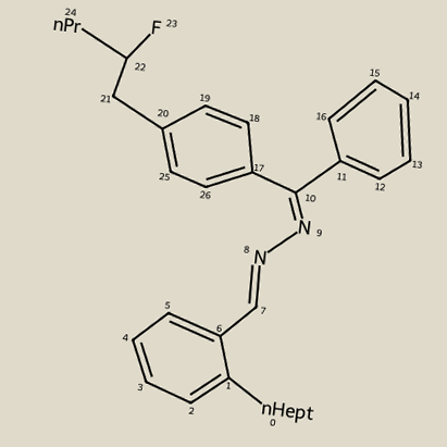 CCCCCCCc1ccccc1C=NN=C(c1ccccc1)c1ccc(CC(F)CCC)cc1